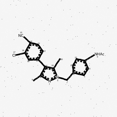 CC(=O)Nc1ccc(Cn2nc(C)c(-c3ccc(C#N)c(Cl)c3)c2C)cc1